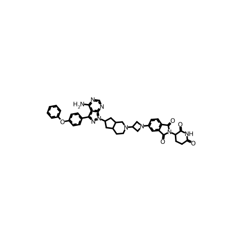 Nc1ncnc2c1c(-c1ccc(Oc3ccccc3)cc1)nn2C1CC2CCN(C3CN(c4ccc5c(c4)C(=O)N(C4CCC(=O)NC4=O)C5=O)C3)CC2C1